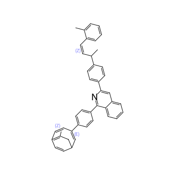 CC1=C2C=CC(/C=C(c3ccc(-c4nc(-c5ccc(C(C)/C=C\c6ccccc6C)cc5)cc5ccccc45)cc3)\C=C/2)C1